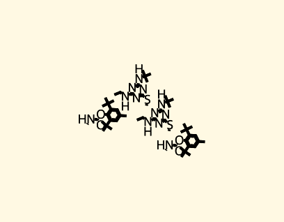 CCNc1nc(NC(C)(C)C)nc(SC)n1.CCNc1nc(NC(C)(C)C)nc(SC)n1.CNC(=O)Oc1c(C(C)(C)C)cc(C)cc1C(C)(C)C.CNC(=O)Oc1c(C(C)(C)C)cc(C)cc1C(C)(C)C